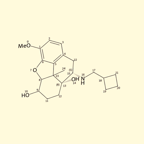 COc1ccc2c3c1OC1C(O)CC[C@](O)([C@@H](NCC4CCC4)C2)C31C